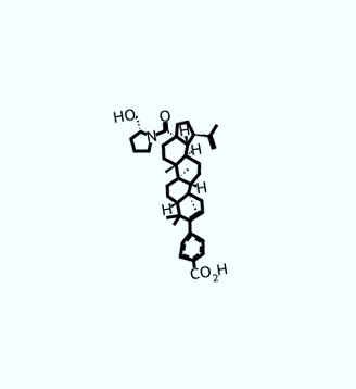 C=C(C)[C@@H]1CC[C@]2(C(=O)N3CCC[C@@H]3CO)CC[C@]3(C)[C@H](CC[C@@H]4[C@@]5(C)CC=C(c6ccc(C(=O)O)cc6)C(C)(C)[C@@H]5CC[C@]43C)[C@@H]12